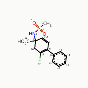 CS(=O)(=O)NC1(C(=O)O)C=CC(c2ccccc2)=C(F)C1